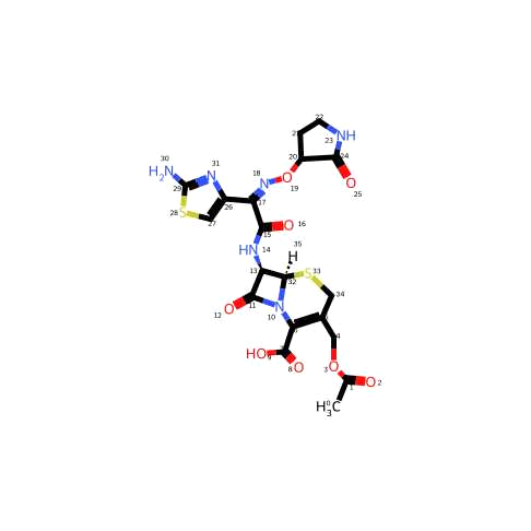 CC(=O)OCC1=C(C(=O)O)N2C(=O)[C@@H](NC(=O)/C(=N\OC3CCNC3=O)c3csc(N)n3)[C@H]2SC1